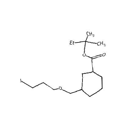 CCC(C)(C)OC(=O)C1CCCC(COCCCI)C1